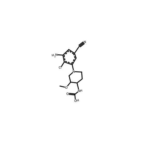 COC1CN(c2cc(C#N)cc(N)c2Cl)CCC1NC(=O)O